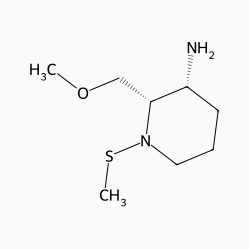 COC[C@@H]1[C@H](N)CCCN1SC